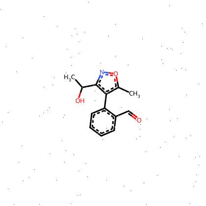 Cc1onc(C(C)O)c1-c1ccccc1C=O